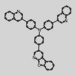 c1ccc2ncc(-c3ccc(N(c4ccc(-c5cnc6ccccc6c5)cc4)c4ccc(-c5cnc6oc7ccccc7c6c5)cc4)cc3)cc2c1